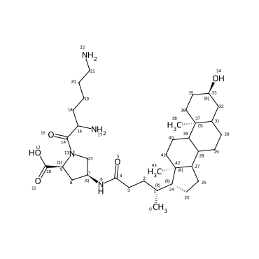 C[C@H](CCC(=O)N[C@H]1C[C@@H](C(=O)O)N(C(=O)C(N)CCCCN)C1)[C@H]1CCC2C3CCC4C[C@H](O)CC[C@]4(C)C3CC[C@@]21C